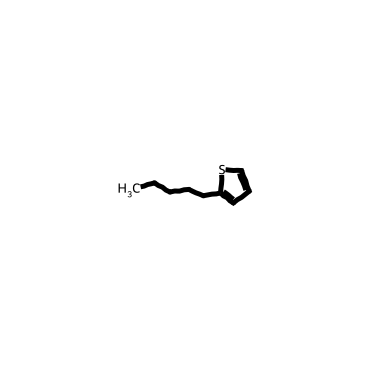 CCC[CH]Cc1cccs1